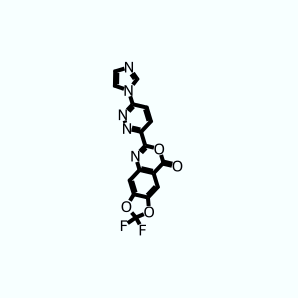 O=c1oc(-c2ccc(-n3ccnc3)nn2)nc2cc3c(cc12)OC(F)(F)O3